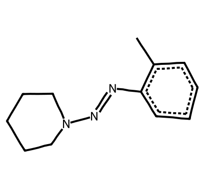 Cc1ccccc1N=NN1CCCCC1